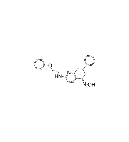 O/N=C1\CC(c2ccccc2)Cc2nc(NCCOc3ccccc3)ccc21